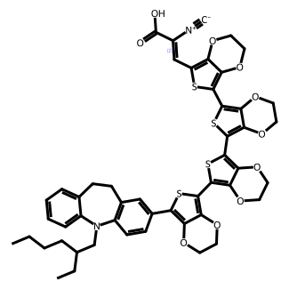 [C-]#[N+]/C(=C\c1sc(-c2sc(-c3sc(-c4sc(-c5ccc6c(c5)CCc5ccccc5N6CC(CC)CCCC)c5c4OCCO5)c4c3OCCO4)c3c2OCCO3)c2c1OCCO2)C(=O)O